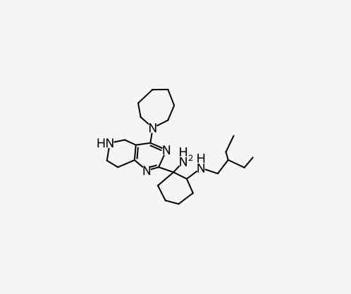 CCC(CC)CNC1CCCCC1(N)c1nc2c(c(N3CCCCCC3)n1)CNCC2